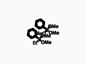 CC[Si](OC)(OC)c1ccccc1.CO[Si](OC)(OC)c1ccccc1